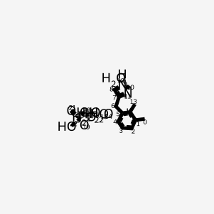 Cc1cccc(Cc2c[nH]cn2)c1C.O.O.O.O.O.O=S(=O)(O)O